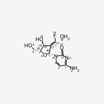 Nc1ccn([C@@H]2O[C@H](CO)[C@@H](O)/C2=C\F)c(=O)n1.O